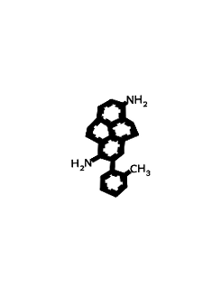 Cc1ccccc1-c1cc2ccc3c(N)ccc4ccc(c1N)c2c43